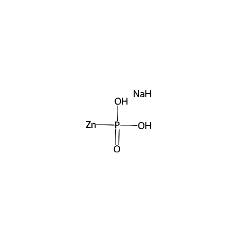 O=[P](O)(O)[Zn].[NaH]